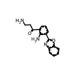 NCCC(=O)c1cccc(-c2nc3ccccc3o2)c1N